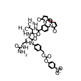 CC(C)[C@H](NC(=O)c1ccc(N2C(=O)C=CC2=O)c(N2C(=O)C=CC2=O)c1)C(=O)N[C@@H](CCCNC(N)=O)C(=O)Nc1ccc(COC(=O)Oc2ccc([N+](=O)[O-])cc2)cc1